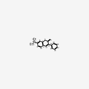 C=C1Cc2cc(N(CC)CC)ccc2C=C1c1ccccc1